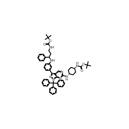 CC(C)(C)OC(=O)NCCC(Nc1cccc(-c2nn(C(c3ccccc3)(c3ccccc3)c3ccccc3)c3nc(N[C@H]4CC[C@H](NC(=O)OC(C)(C)C)CC4)ncc23)c1)c1ccccc1